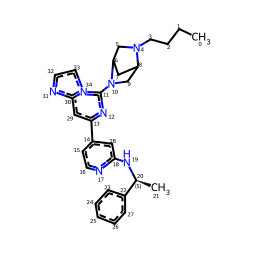 CCCCN1CC2CC1CN2c1nc(-c2ccnc(N[C@@H](C)c3ccccc3)c2)cc2nccn12